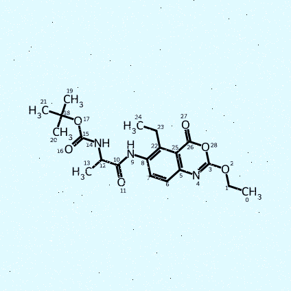 CCOc1nc2ccc(NC(=O)C(C)NC(=O)OC(C)(C)C)c(CC)c2c(=O)o1